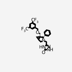 O=c1[nH]nc(CN2CC3C[C@@]3(COCc3cc(C(F)(F)F)cc(C(F)(F)F)c3)[C@@H]2c2ccccc2)[nH]1